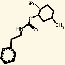 CC(C)[C@@H]1CC[C@@H](C)C[C@H]1OC(=O)NCCc1ccccc1